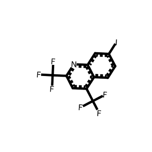 FC(F)(F)c1cc(C(F)(F)F)c2ccc(I)cc2n1